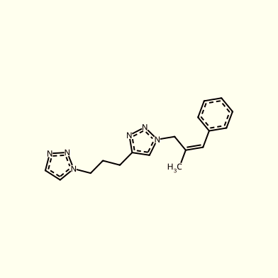 CC(=Cc1ccccc1)Cn1cc(CCCn2ccnn2)nn1